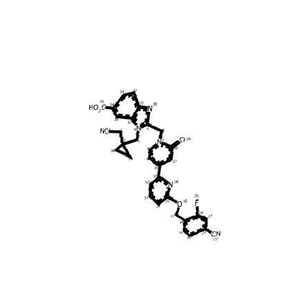 N#CCC1(Cn2c(Cn3ccc(-c4cccc(OCc5ccc(C#N)cc5F)n4)cc3=O)nc3ccc(C(=O)O)cc32)CC1